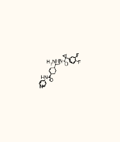 NC(CNC(=O)C1(c2ccc(F)c(F)c2)CC1)C1CCC(C(=O)Nc2ccncc2)CC1